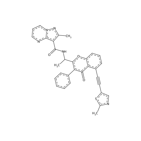 Cc1ncc(C#Cc2cccc3oc(C(C)NC(=O)c4c(C)nn5cccnc45)c(-c4ccccc4)c(=O)c23)s1